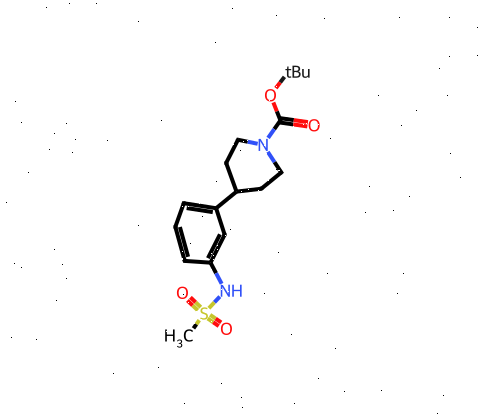 CC(C)(C)OC(=O)N1CCC(c2cccc(NS(C)(=O)=O)c2)CC1